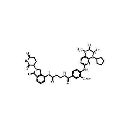 CC[C@@H]1C(=O)N(C)c2cnc(Nc3ccc(C(=O)NCCC(=O)Nc4cccc5c4CN(C4CCC(=O)NC4=O)C5=O)cc3OC)nc2N1C1CCCC1